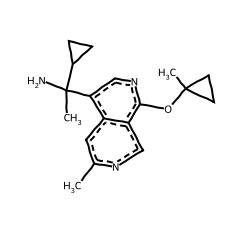 Cc1cc2c(C(C)(N)C3CC3)cnc(OC3(C)CC3)c2cn1